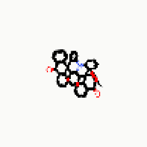 O=C1c2ccccc2C2(c3ccccc31)c1ccccc1N1c3ccccc3C3(c4ccccc4C(=O)c4ccccc43)c3cccc2c31